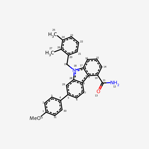 COc1ccc(-c2c[c]c3c4c(C(N)=O)cccc4n(Cc4cccc(C)c4C)c3c2)cc1